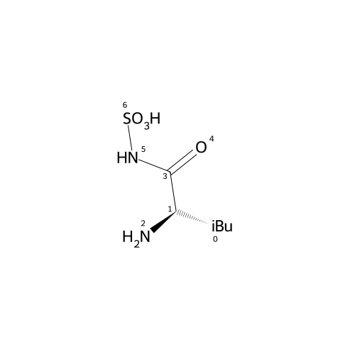 CC[C@@H](C)[C@@H](N)C(=O)NS(=O)(=O)O